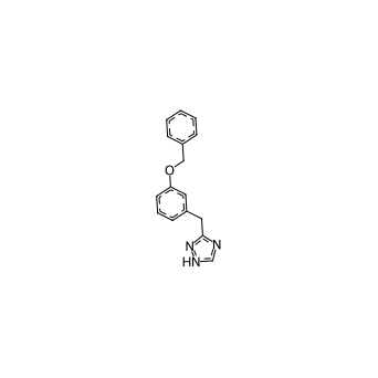 c1ccc(COc2cccc(Cc3nc[nH]n3)c2)cc1